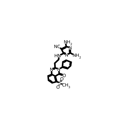 CS(=O)(=O)c1cccc2nc(CCNc3nc(N)nc(N)c3C#N)n(-c3ccccc3)c(=O)c12